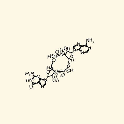 Nc1nc2c(ncn2[C@@H]2O[C@@H]3CO[P@](=O)(S)N[C@H]4[C@@H](O)[C@H](n5cnc6c(N)ncnc65)O[C@@H]4CO[P@@](=O)(S)N[C@H]3[C@H]2O)c(=O)[nH]1